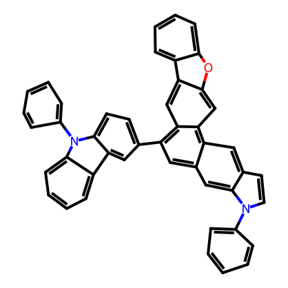 c1ccc(-n2ccc3cc4c(cc(-c5ccc6c(c5)c5ccccc5n6-c5ccccc5)c5cc6c(cc54)oc4ccccc46)cc32)cc1